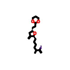 C=C(I)C(C)CCCC[C@@H]1O[C@@H](CCC2OCCCO2)CC1=C